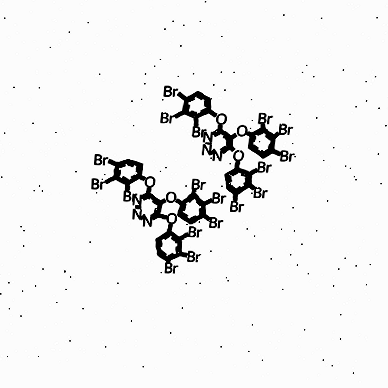 Brc1ccc(Oc2nnnc(Oc3ccc(Br)c(Br)c3Br)c2Oc2ccc(Br)c(Br)c2Br)c(Br)c1Br.Brc1ccc(Oc2nnnc(Oc3ccc(Br)c(Br)c3Br)c2Oc2ccc(Br)c(Br)c2Br)c(Br)c1Br